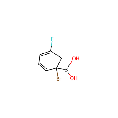 OB(O)C1(Br)C=CC=C(F)C1